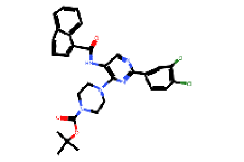 CC(C)(C)OC(=O)N1CCN(c2nc(-c3ccc(Cl)c(Cl)c3)ncc2NC(=O)c2cccc3ccccc23)CC1